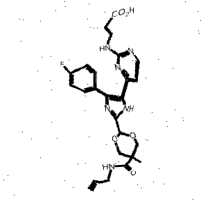 C=CCNC(=O)C1(C)COC(c2nc(-c3ccc(F)cc3)c(-c3ccnc(NCCC(=O)O)n3)[nH]2)OC1